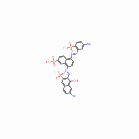 [NH]c1ccc2cc(S(=O)(=O)O)c(/N=N/c3ccc(/N=N/c4cc(N)ccc4S(=O)(=O)O)c4ccc(S(=O)(=O)O)cc34)c(O)c2c1